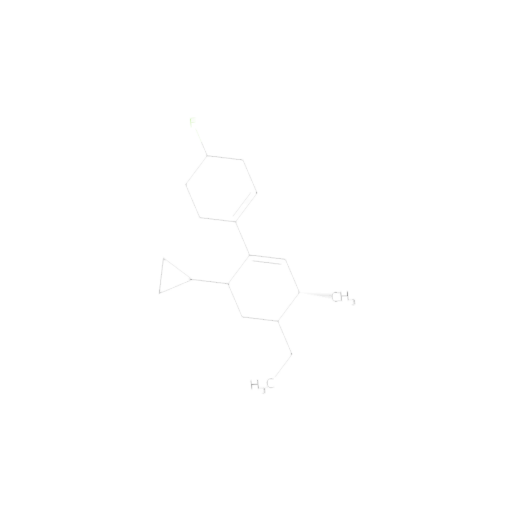 CCC1CC(C2CC2)C(C2=CCC(F)CC2)=C[C@@H]1C